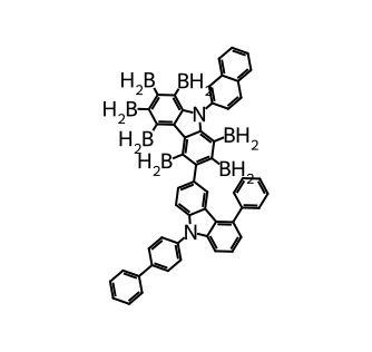 Bc1c(B)c(B)c2c(c1B)c1c(B)c(-c3ccc4c(c3)c3c(-c5ccccc5)cccc3n4-c3ccc(-c4ccccc4)cc3)c(B)c(B)c1n2-c1ccc2ccccc2c1